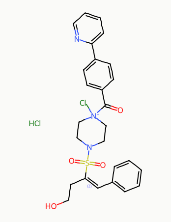 Cl.O=C(c1ccc(-c2ccccn2)cc1)[N+]1(Cl)CCN(S(=O)(=O)/C(=C\c2ccccc2)CCO)CC1